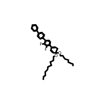 CCCCCCCCCCOC1(OCCCCCCC)C=CC(c2ccc(-c3ccc(-c4ccccc4)cc3)c(F)c2F)=CC1